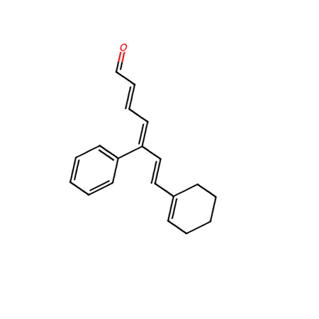 O=CC=CC=C(C=CC1=CCCCC1)c1ccccc1